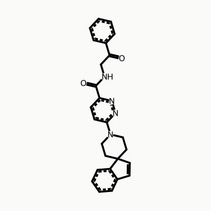 O=C(CNC(=O)c1ccc(N2CCC3(C=Cc4ccccc43)CC2)nn1)c1ccccc1